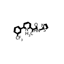 CC(C(=O)Nc1nccs1)c1cccc(-c2cccc(C(F)(F)F)c2)n1